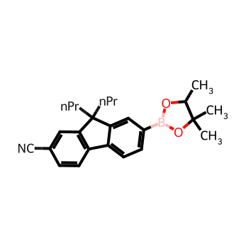 CCCC1(CCC)c2cc(C#N)ccc2-c2ccc(B3OC(C)C(C)(C)O3)cc21